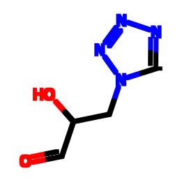 O=CC(O)Cn1[c]nnn1